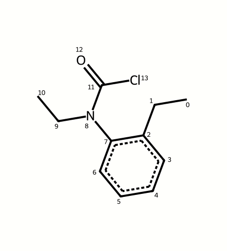 CCc1ccccc1N(CC)C(=O)Cl